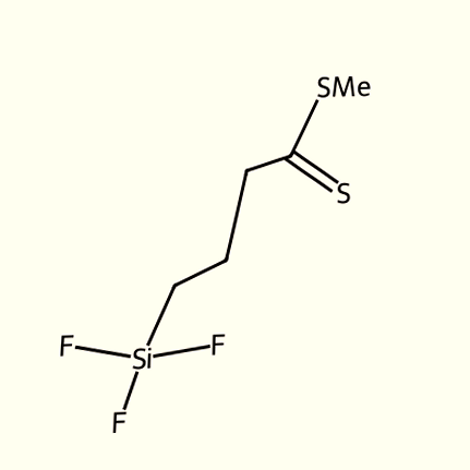 CSC(=S)CCC[Si](F)(F)F